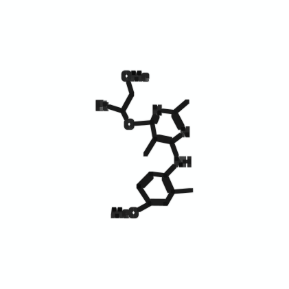 CCC(COC)Oc1nc(C)nc(Nc2ccc(OC)cc2C)c1C